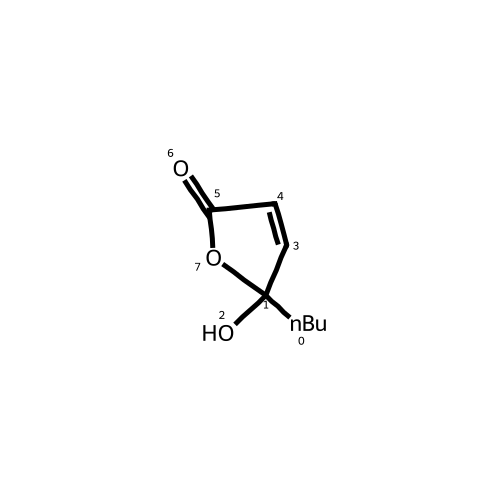 CCCCC1(O)C=CC(=O)O1